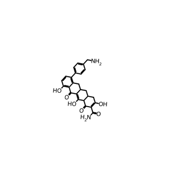 NCc1ccc(-c2ccc(O)c3c2CC2CC4CC(O)=C(C(N)=O)C(=O)C4C(O)=C2C3=O)cc1